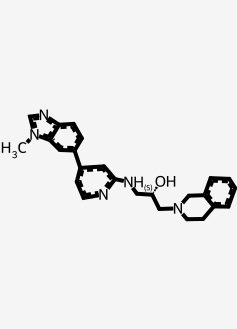 Cn1cnc2ccc(-c3ccnc(NC[C@H](O)CN4CCc5ccccc5C4)c3)cc21